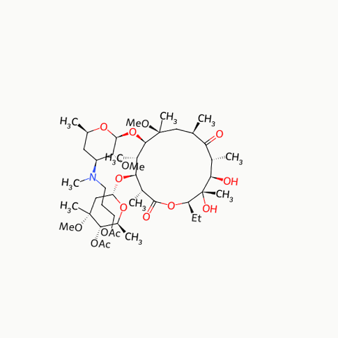 CC[C@H]1OC(=O)[C@H](C)[C@@H](O[C@H]2C[C@@](C)(OC)[C@@H](OC(C)=O)[C@H](C)O2)[C@H](C)[C@@H](O[C@@H]2O[C@H](C)C[C@H](N(C)CCCOC(C)=O)[C@H]2OC)[C@@](C)(OC)C[C@@H](C)C(=O)[C@H](C)[C@@H](O)[C@]1(C)O